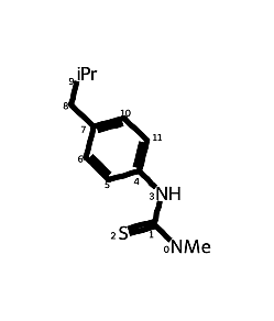 CNC(=S)Nc1ccc(CC(C)C)cc1